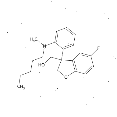 CCCCCN(C)c1ccccc1C1(CO)COc2ccc(F)cc21